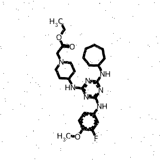 CCOC(=O)CN1CCC(Nc2nc(Nc3ccc(OC)c(F)c3)nc(NC3CCCCCC3)n2)CC1